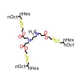 CCCCCCCCC(CCCCCC)CSSSCCOC(=O)CCN(C)CCCN(CCC(=O)OCCSSSCC(CCCCCC)CCCCCCCC)CCC(=O)OCCSSSCC(CCCCCC)CCCCCCCC